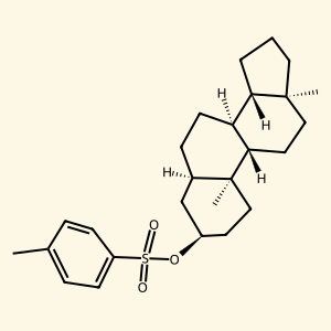 Cc1ccc(S(=O)(=O)O[C@@H]2CC[C@@]3(C)[C@H](CC[C@H]4[C@@H]5CCC[C@@]5(C)CC[C@@H]43)C2)cc1